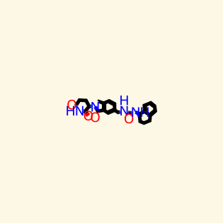 O=C1CCC(N2Cc3ccc(CNC(=O)NC4CCCc5ccccc54)cc3C2=O)C(=O)N1